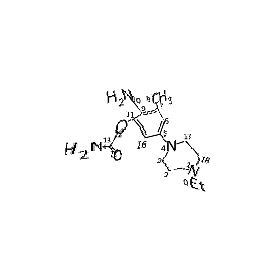 CCN1CCN(c2cc(C)c(N)c(OC(N)=O)c2)CC1